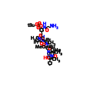 CC[C@H](C)[C@@H]([C@@H](CC(=O)N1CCC[C@H]1[C@H](OC)[C@@H](C)C(=O)N[C@H](C)[C@@H](O)c1ccccc1)OC)N(C)C(=O)[C@@H](NC(=O)[C@H](C(C)C)N(C)C(=O)OCc1ccc(OS(=O)(=O)OCC(C)(C)C)c(NC(=O)CCN)c1)C(C)C